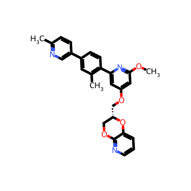 COc1cc(OC[C@H]2COc3ncccc3O2)cc(-c2ccc(-c3ccc(C)nc3)cc2C)n1